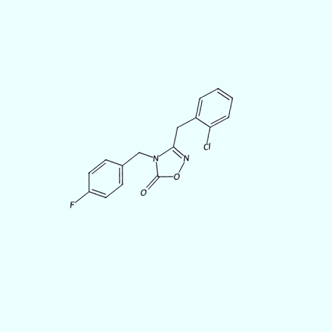 O=c1onc(Cc2ccccc2Cl)n1Cc1ccc(F)cc1